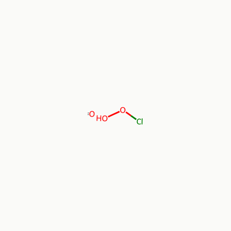 OOCl.[O]